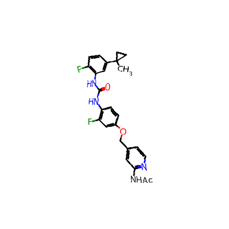 CC(=O)Nc1cc(COc2ccc(NC(=O)Nc3cc(C4(C)CC4)ccc3F)c(F)c2)ccn1